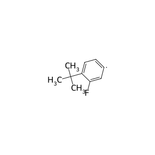 CC(C)(C)c1cc[c]cc1F